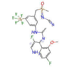 C=C(/N=C(\C(F)=C/N)c1ccc(F)cc1OC)Nc1cc(CS(C)(=O)=NC#N)cc(S(F)(F)(F)(F)F)c1